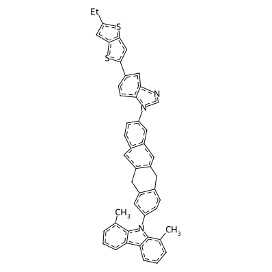 CCc1cc2sc(-c3ccc4c(c3)ncn4-c3ccc4cc5c(cc4c3)Cc3ccc(-n4c6c(C)cccc6c6cccc(C)c64)cc3C5)cc2s1